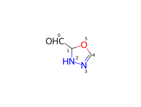 O=CC1NN=CO1